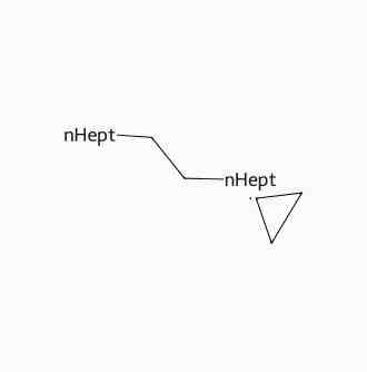 [CH2]CCCCCCCCCCCCCCC.[CH]1CC1